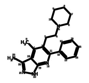 Cc1c(CCN2CCCCC2)c(-c2ccccc2)nc2[nH]nc(N)c12